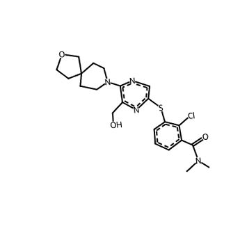 CN(C)C(=O)c1cccc(Sc2cnc(N3CCC4(CCOC4)CC3)c(CO)n2)c1Cl